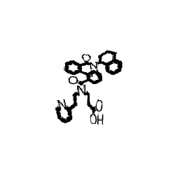 O=C(O)CCN(CCc1ccccn1)C(=O)c1ccccc1-c1ccccc1C(=O)NC1CCCc2ccccc21